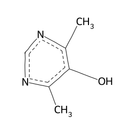 Cc1ncnc(C)c1O